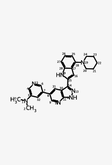 CN(C)c1cncc(-c2cnc3[nH]nc(-c4cc5c(N6CCCCC6)cccc5[nH]4)c3c2)c1